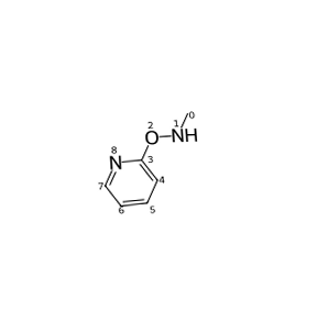 CNOc1ccccn1